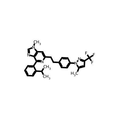 Cc1cc(C(F)(F)F)nn1-c1ccc(CCc2cc3c(ncn3C)c(-c3ccccc3C(C)C)n2)cc1